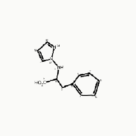 O=C(O)C(Cc1ccccc1)Nn1cccn1